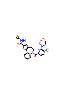 O=C(NC1CC1)c1cc2c(s1)-c1ccccc1N(C(=O)c1ccc(Cl)c(N3CCOCC3)n1)CC2